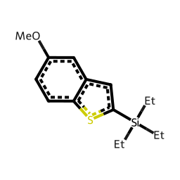 CC[Si](CC)(CC)c1cc2cc(OC)ccc2s1